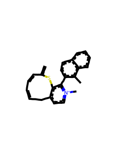 C=C1/C=C\C=C/Cc2cc[n+](C)c(-c3ccc4ccccc4c3C)c2S1